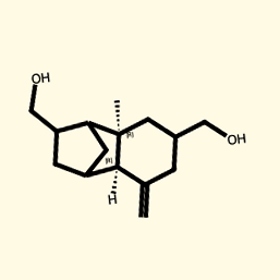 C=C1CC(CO)C[C@]2(C)C3CC(CC3CO)[C@H]12